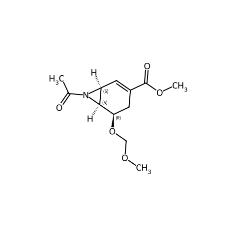 COCO[C@@H]1CC(C(=O)OC)=C[C@H]2[C@@H]1N2C(C)=O